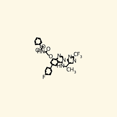 CC(Nc1ncnc2c(OCC(=O)NS(=O)(=O)c3ccccc3)cc(-c3ccc(F)cc3)cc12)c1cnc(C(F)(F)F)nc1